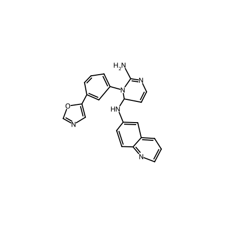 NC1=NC=CC(Nc2ccc3ncccc3c2)N1c1cccc(-c2cnco2)c1